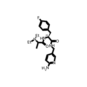 CCN(CC)C(C)C(=O)N[C@@H](Cc1ccc(F)cc1)C(=O)NCc1ccc(N)nc1